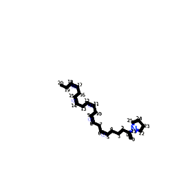 C=C(CCC/C=C\C/C=C\C/C=C\C/C=C\C/C=C\CC)N1CCCC1